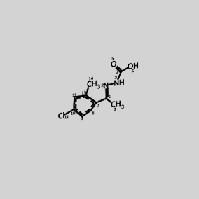 CC(=NNC(=O)O)c1ccc(Cl)cc1C